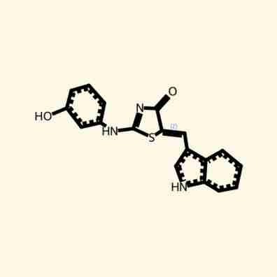 O=C1N=C(Nc2cccc(O)c2)S/C1=C\c1c[nH]c2ccccc12